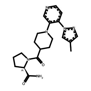 Cc1cnn(-c2ccncc2N2CCC(C(=O)N3CCC[C@@H]3C(N)=O)CC2)c1